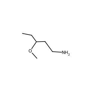 CCC(CCN)OC